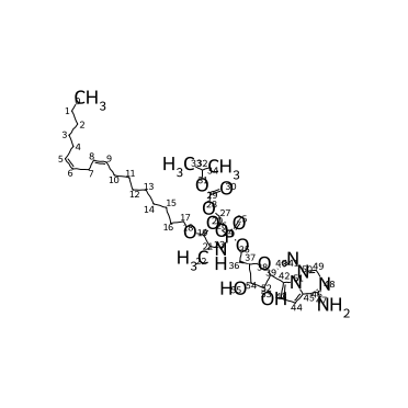 CCCCC/C=C\C/C=C\CCCCCCCCOC(=O)[C@H](C)N[P@](=O)(OCOC(=O)OC(C)C)OC[C@H]1O[C@@](C#N)(c2ccc3c(N)ncnn23)[C@H](O)[C@@H]1O